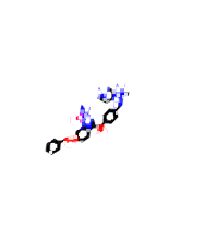 Cc1nc2cnccc2n1Cc1ccc(C(=O)c2cn(C(=O)N(C)C)c3cc(OCc4ccccc4)ccc23)cc1